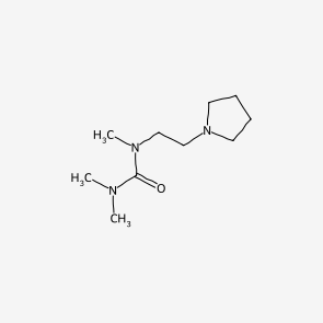 CN(C)C(=O)N(C)CCN1CCCC1